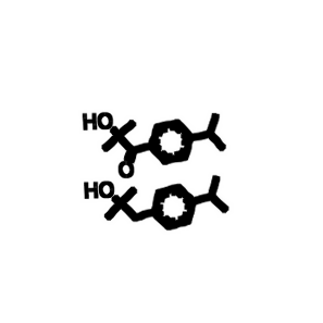 CC(C)c1ccc(C(=O)C(C)(C)O)cc1.CC(C)c1ccc(CC(C)(C)O)cc1